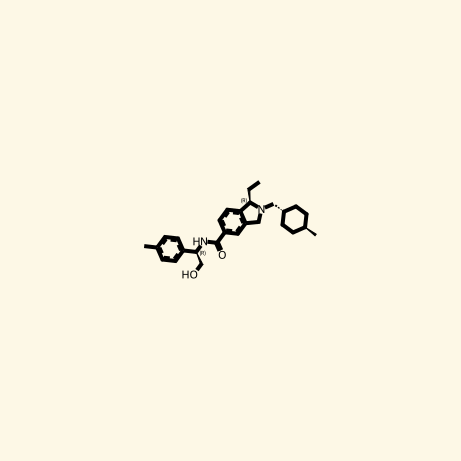 CC[C@@H]1c2ccc(C(=O)N[C@@H](CO)c3ccc(C)cc3)cc2CN1C[C@H]1CC[C@H](C)CC1